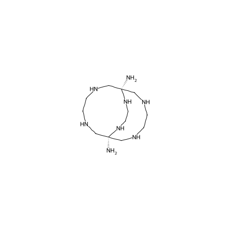 N[C@]12CNCCNC[C@](N)(CNCCNC1)NCCN2